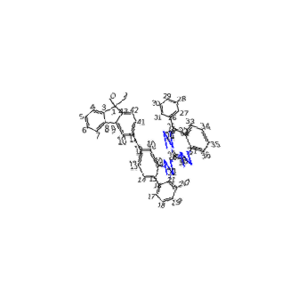 CC1(C)c2ccccc2-c2cc(-c3ccc4c5ccccc5n(-c5nc(-c6ccccc6)c6ccccc6n5)c4c3)ccc21